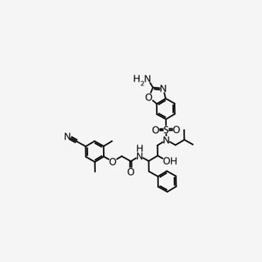 Cc1cc(C#N)cc(C)c1OCC(=O)NC(Cc1ccccc1)C(O)CN(CC(C)C)S(=O)(=O)c1ccc2nc(N)oc2c1